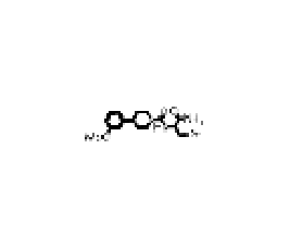 COc1cccc(C2CCN(C(=O)NC(CC(C)C)C(N)=O)CC2)c1